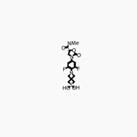 CNC(=O)[C@H]1CN(c2cc(F)c(N3CC4(C3)CS(O)(O)C4)c(F)c2)C(=O)O1